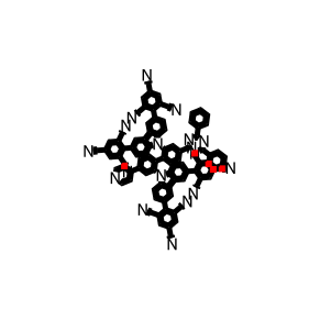 N#Cc1cc(C#N)c(-c2ccc3c(c2)c2cc(-c4c(C#N)cc(C#N)cc4C#N)ccc2n3-c2cc(-c3ccncc3)ccc2-c2ccc(-c3nc(-c4ccccc4)nc(-c4ccccc4)n3)cc2-n2c3ccc(-c4c(C#N)cc(C#N)cc4C#N)cc3c3cc(-c4c(C#N)cc(C#N)cc4C#N)ccc32)c(C#N)c1